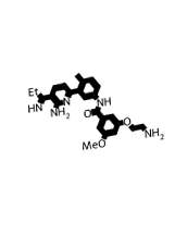 CCC(=N)c1ccc(-c2cc(NC(=O)c3cc(OC)cc(OCCN)c3)ccc2C)nc1N